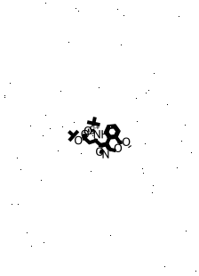 COC(=O)c1ccccc1-c1c(C)noc1C(CC(=O)OC(C)(C)C)N[S+]([O-])C(C)(C)C